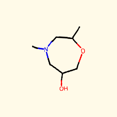 CC1CN(C)CC(O)CO1